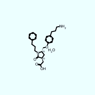 NCCCc1ccc(OC[C@@H]2C[C@@H](CC(=O)O)C(=O)N2CCCc2ccccc2)cc1.O